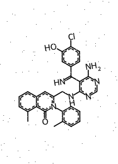 Cc1ccccc1-n1c(CNc2ncnc(N)c2C(=N)c2ccc(Cl)c(O)c2)cc2cccc(C)c2c1=O